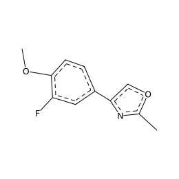 COc1ccc(-c2coc(C)n2)cc1F